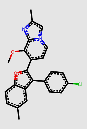 COc1c(-c2oc3ccc(C)cc3c2-c2ccc(Cl)cc2)ccn2cc(C)nc12